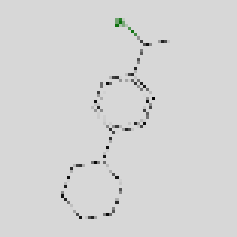 CC(Br)c1ccc(C2CCCCC2)cc1